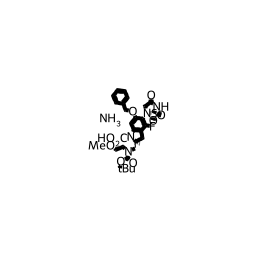 COCCN(C[C@H]1Cc2c(cc(OCc3ccccc3)c(N3CC(=O)NS3(=O)=O)c2F)N1C(=O)O)C(=O)OC(C)(C)C.N